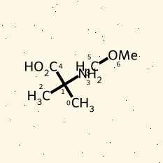 CC(C)(N)C(=O)O.COC